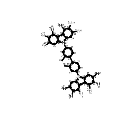 [2H]c1cc2c(c([2H])c1[2H])c1c([2H])c([2H])c([2H])cc1n2-c1ccc(-c2ccc(-n3c4cc([2H])c([2H])c([2H])c4c4c([2H])c([2H])c([2H])cc43)cc2C)c(C)c1